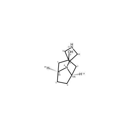 OC1C[C@H]2CC[C@@H](C1)N2C1CNC1